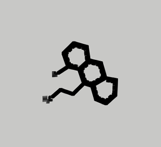 CCCc1c2ccccc2cc2cccc(Br)c12